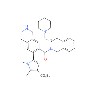 CCOC(=O)c1cc(-c2cc3c(cc2C(=O)N2Cc4ccccc4C[C@H]2CN2CCCCC2)CNCC3)n(C)c1C